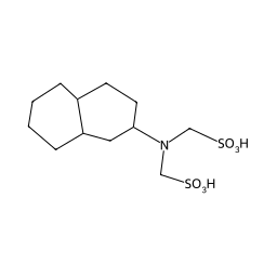 O=S(=O)(O)CN(CS(=O)(=O)O)C1CCC2CCCCC2C1